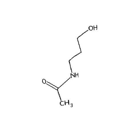 CC(=O)NCCCO